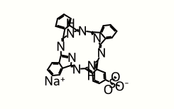 O=S(=O)([O-])c1ccc2c3nc4nc(nc5[nH]c(nc6nc(nc([nH]3)c2c1)-c1ccccc1-6)c1ccccc51)-c1ccccc1-4.[Na+]